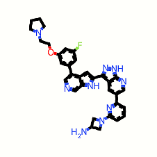 NC1CN(c2cccc(-c3cnc4[nH]nc(-c5cc6c(-c7cc(F)cc(OCCN8CCCC8)c7)cncc6[nH]5)c4c3)n2)C1